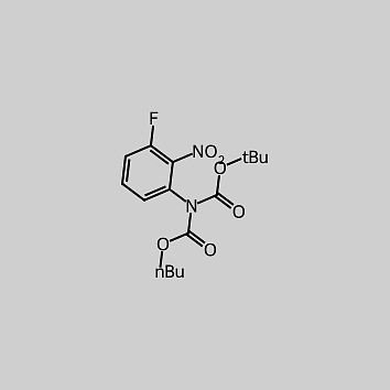 CCCCOC(=O)N(C(=O)OC(C)(C)C)c1cccc(F)c1[N+](=O)[O-]